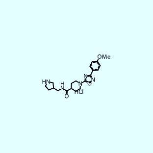 COc1ccc(-c2noc(N3CCC(C(=O)NCC4CCNC4)CC3)n2)cc1.Cl